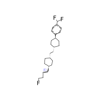 FCC/C=C/[C@H]1CC[C@H](CC[C@H]2CC[C@H](c3ccc(C(F)F)cc3)CC2)CC1